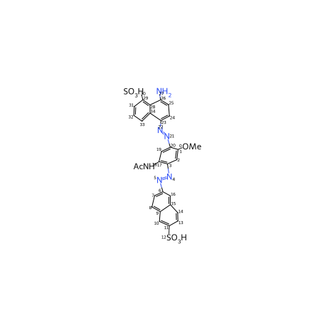 COc1cc(N=Nc2ccc3cc(S(=O)(=O)O)ccc3c2)c(NC(C)=O)cc1N=Nc1ccc(N)c2c(S(=O)(=O)O)cccc12